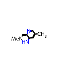 CN/C=C1/N=CC(C)=CC1=N